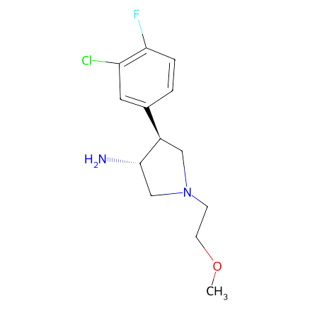 COCCN1C[C@H](c2ccc(F)c(Cl)c2)[C@@H](N)C1